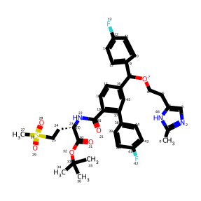 Cc1ncc(CCOC(c2ccc(F)cc2)c2ccc(C(=O)N[C@@H](CCS(C)(=O)=O)C(=O)OC(C)(C)C)c(-c3ccc(F)cc3)c2)[nH]1